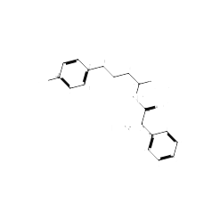 N[C@H](C(=O)NC(CCCc1ccc(F)cc1)C(=O)O)c1ccccc1